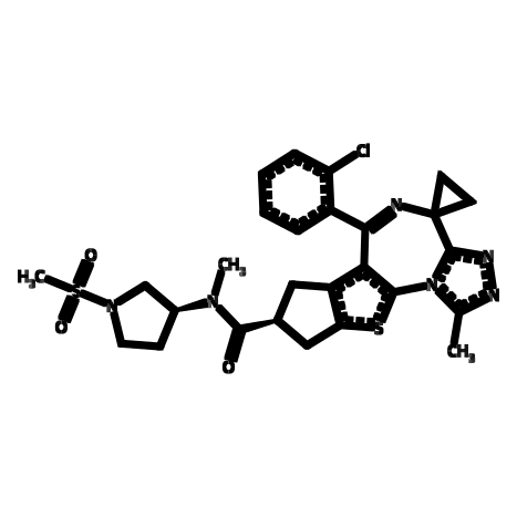 Cc1nnc2n1-c1sc3c(c1C(c1ccccc1Cl)=NC21CC1)C[C@H](C(=O)N(C)[C@H]1CCN(S(C)(=O)=O)C1)C3